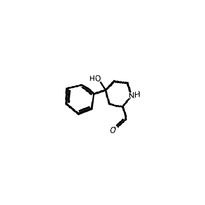 O=CC1CC(O)(c2ccccc2)CCN1